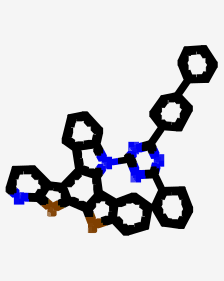 c1ccc(-c2ccc(-c3nc(-c4ccccc4)nc(-n4c5ccccc5c5c6c7cccnc7sc6c6sc7ccccc7c6c54)n3)cc2)cc1